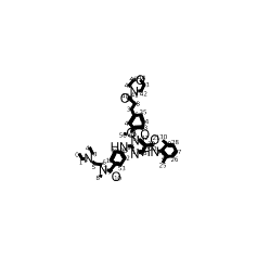 CCN(CC)CCN(C)C(=O)c1ccc(Nc2ncc(C(=O)Nc3c(C)cccc3C)c(Oc3ccc(CCC(=O)N4CCOCC4)cc3OC)n2)cc1